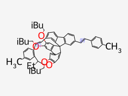 CCC(C)COc1cc2c(cc1OCC(C)CC)C13c4cc(/C=C/c5ccc(C)cc5)ccc4-c4ccc(cc41)/C=C/c1ccc(C)cc1C(CC)COc1cc3c-2cc1OCC(C)CC